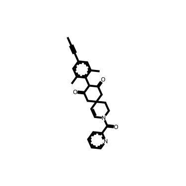 CC#Cc1cc(C)c(C2C(=O)CC3(C=CN(C(=O)c4ccccn4)CC3)CC2=O)c(C)c1